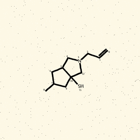 C=CCN1CC2CC(C)CC2(S)C1